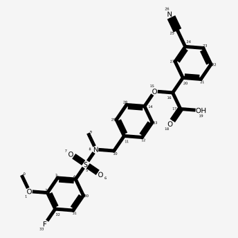 COc1cc(S(=O)(=O)N(C)Cc2ccc(OC(C(=O)O)c3cccc(C#N)c3)cc2)ccc1F